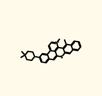 Cc1c2c(cc3ccccc13)Sc1cc3ccc(C4CCC(C)(C)CC4)cc3c3cc[n+](C)c-2c13